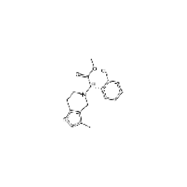 COC(=O)[C@H](c1ccccc1Cl)N1CCc2scc(C)c2C1